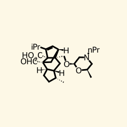 CCCN1C[C@H](OC[C@@]23C[C@@H]4[C@H](C)CC[C@H]4[C@]4(C=O)C[C@@H]2C=C(C(C)C)[C@@]34C(=O)O)O[C@H](C)C1